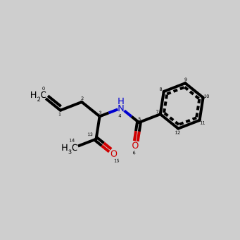 C=CCC(NC(=O)c1ccccc1)C(C)=O